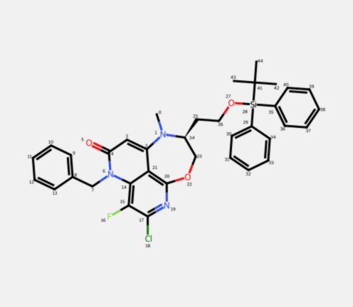 CN1c2cc(=O)n(Cc3ccccc3)c3c(F)c(Cl)nc(c23)OC[C@@H]1CCO[Si](c1ccccc1)(c1ccccc1)C(C)(C)C